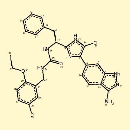 Nc1n[nH]c2cc(-c3nc([C@H](Cc4ccccc4)NC(=O)NCc4cc(Cl)ccc4OCI)[nH]c3Cl)ccc12